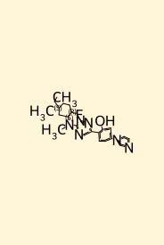 CC[C@@]1(C)CC[C@@H](F)[C@@H](N(C)c2ncc(-c3ccc(-n4ccnc4)cc3O)nn2)C1